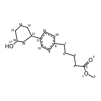 COC(=O)CCCCc1ccc(C2CCCC(O)C2)cc1